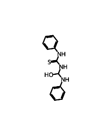 OC(NC(=S)Nc1ccccc1)Nc1ccccc1